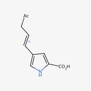 CC(=O)C/C=C/c1c[nH]c(C(=O)O)c1